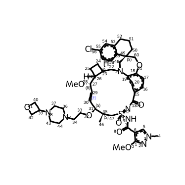 COc1nn(C)cc1C(=O)N[S@@]1(=O)=NC(=O)c2ccc3c(c2)N(C[C@@H]2CC[C@H]2[C@@H](OC)/C=C/[C@H](OCCN2CCN(C4COC4)CC2)[C@H](C)C1)C[C@@]1(CCCc2cc(Cl)ccc21)CO3